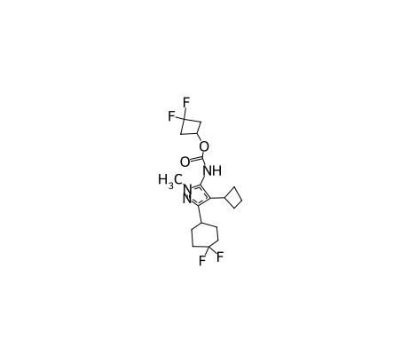 Cn1nc(C2CCC(F)(F)CC2)c(C2CCC2)c1NC(=O)OC1CC(F)(F)C1